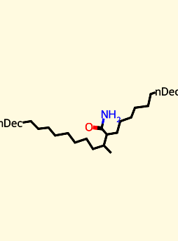 CCCCCCCCCCCCCCCCCCC(C)C(CCCCCCCCCCCCCCCC)C(N)=O